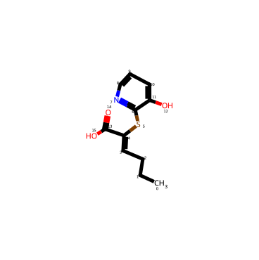 CCC/C=C(\Sc1ncccc1O)C(=O)O